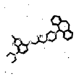 CCN(CC)c1ccc(OCC(O)CN2CCN(C3c4ccccc4CCc4ccccc43)CC2)c2sc(C)nc12